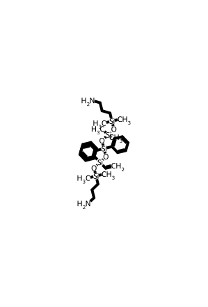 C=C[Si](O[Si](C)(C)CCCN)(O[Si](O[Si](C)(C)O[Si](C)(C)CCCN)(c1ccccc1)c1ccccc1)c1ccccc1